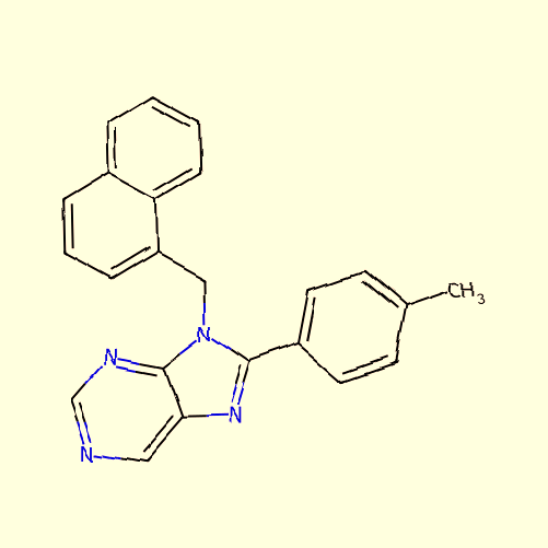 Cc1ccc(-c2nc3cncnc3n2Cc2cccc3ccccc23)cc1